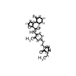 CCn1nnn(CCN2CC[C@@H](NC(=O)c3occc3-c3ccccc3F)[C@@H](C)C2)c1=O